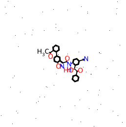 CC(=O)c1ccccc1-c1ccc2onc(C(=O)Nc3ccc(C#N)cc3C(O)C(=O)c3ccccc3)c2c1